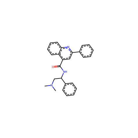 CN(C)CC(NC(=O)c1cc(-c2ccccc2)nc2ccccc12)c1ccccc1